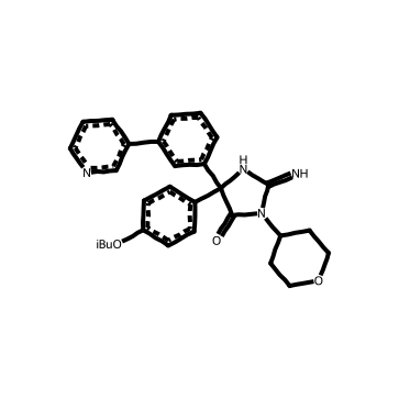 CC(C)COc1ccc(C2(c3cccc(-c4cccnc4)c3)NC(=N)N(C3CCOCC3)C2=O)cc1